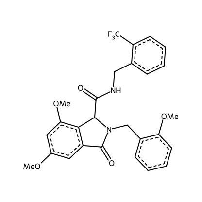 COc1cc(OC)c2c(c1)C(=O)N(Cc1ccccc1OC)C2C(=O)NCc1ccccc1C(F)(F)F